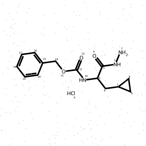 Cl.NNC(=O)C(CC1CC1)NC(=O)OCc1ccccc1